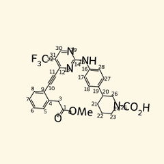 COC(=O)Cc1ccccc1C#Cc1nc(Nc2ccc(C3CCCN(C(=O)O)C3)cc2)ncc1C(F)(F)F